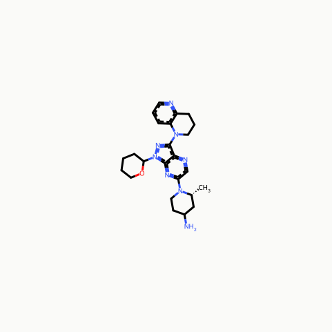 C[C@@H]1CC(N)CCN1c1cnc2c(N3CCCc4ncccc43)nn(C3CCCCO3)c2n1